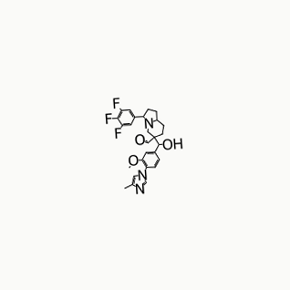 COc1cc(C(O)C2(C=O)CCC3CCC(c4cc(F)c(F)c(F)c4)N3C2)ccc1-n1cnc(C)c1